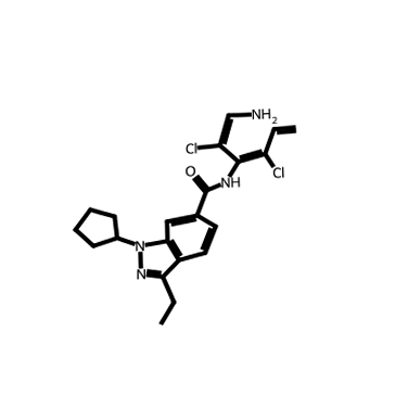 C=C/C(Cl)=C(NC(=O)c1ccc2c(CC)nn(C3CCCC3)c2c1)\C(Cl)=C/N